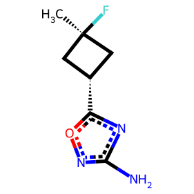 C[C@]1(F)C[C@H](c2nc(N)no2)C1